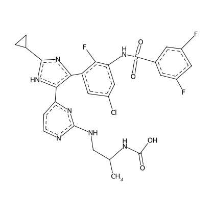 CC(CNc1nccc(-c2[nH]c(C3CC3)nc2-c2cc(Cl)cc(NS(=O)(=O)c3cc(F)cc(F)c3)c2F)n1)NC(=O)O